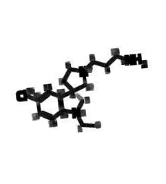 CCN1C[C@@]2(CCN(CCCN)C2)c2cc(Cl)ccc21